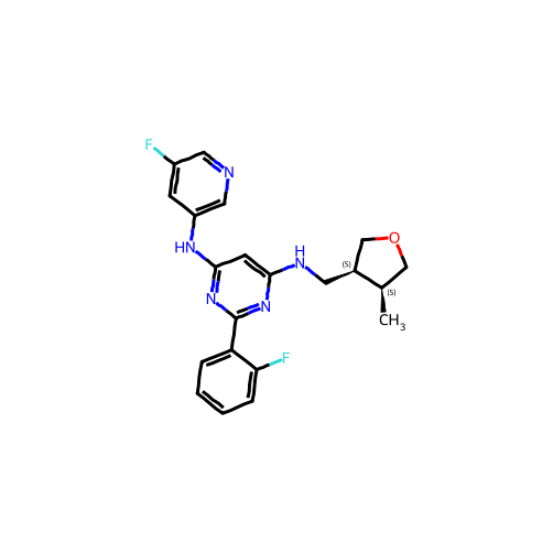 C[C@@H]1COC[C@@H]1CNc1cc(Nc2cncc(F)c2)nc(-c2ccccc2F)n1